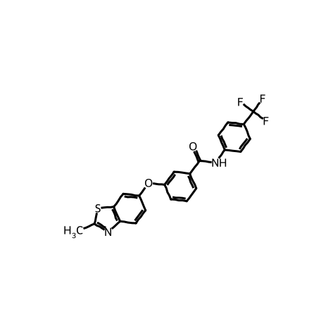 Cc1nc2ccc(Oc3cccc(C(=O)Nc4ccc(C(F)(F)F)cc4)c3)cc2s1